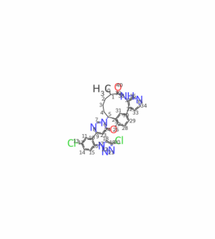 C[C@@H]1CCC[C@H](n2cnc(-c3cc(Cl)ccc3-n3cc(Cl)nn3)cc2=O)c2cccc(c2)-c2ccncc2NC1=O